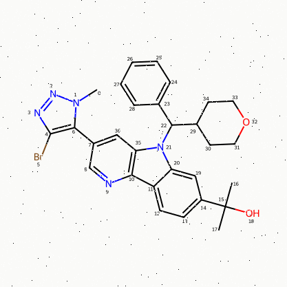 Cn1nnc(Br)c1-c1cnc2c3ccc(C(C)(C)O)cc3n(C(c3ccccc3)C3CCOCC3)c2c1